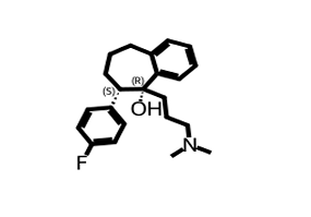 CN(C)CCC[C@]1(O)c2ccccc2CCC[C@H]1c1ccc(F)cc1